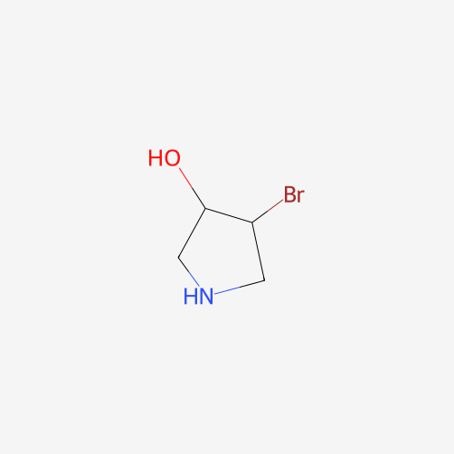 OC1CNCC1Br